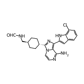 Nc1nccn2c1c(-c1cc3cccc(Cl)c3[nH]1)nc2[C@H]1CC[C@H](CNC=O)CC1